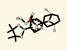 CC(C)(C)OC(=O)N[C@H]1C[C@H]2CC[C@@H](C1)N2c1ccc(B2OC(C)(C)C(C)(C)O2)cn1